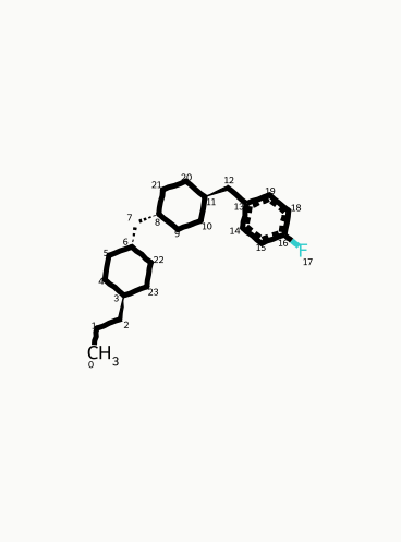 CCC[C@H]1CC[C@H](C[C@H]2CC[C@H](Cc3ccc(F)cc3)CC2)CC1